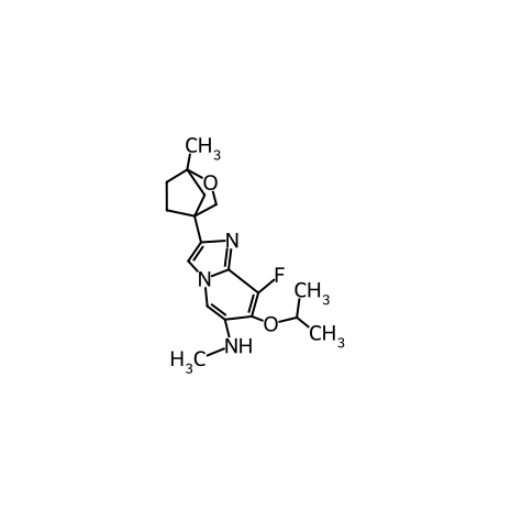 CNc1cn2cc(C34CCC(C)(C3)OC4)nc2c(F)c1OC(C)C